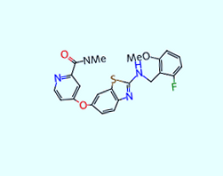 CNC(=O)c1cc(Oc2ccc3nc(NCc4c(F)cccc4OC)sc3c2)ccn1